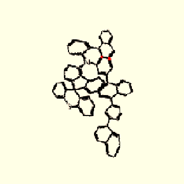 c1cc(-c2cccc3ccccc23)cc(-c2ccc(-c3cccc(N(c4ccccc4-c4cccc5ccccc45)c4cccc5c4-c4ccccc4C54c5ccccc5Sc5ccccc54)c3)c3ccccc23)c1